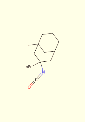 CCCC1(N=C=O)CC2CCCC(C)(C2)C1